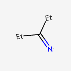 CCC(=[N])CC